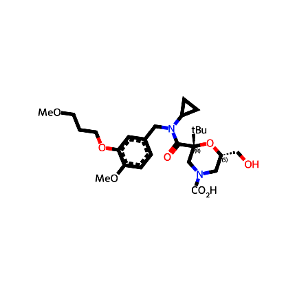 COCCCOc1cc(CN(C(=O)[C@@]2(C(C)(C)C)CN(C(=O)O)C[C@@H](CO)O2)C2CC2)ccc1OC